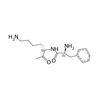 CC(=O)[C@H](CCCCN)NC(=O)[C@@H](N)Cc1ccccc1